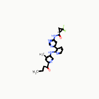 CCCC(=O)c1cc(C)c(Nc2ncccc2-c2cc(NC(=O)[C@H]3CC3(F)F)ncn2)cn1